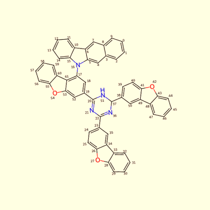 c1ccc2cc3c(cc2c1)c1ccccc1n3-c1cc(C2=NC(c3ccc4oc5ccccc5c4c3)=NC(c3ccc4oc5ccccc5c4c3)N2)cc2oc3ccccc3c12